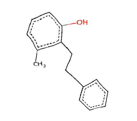 Cc1cccc(O)c1CCc1ccccc1